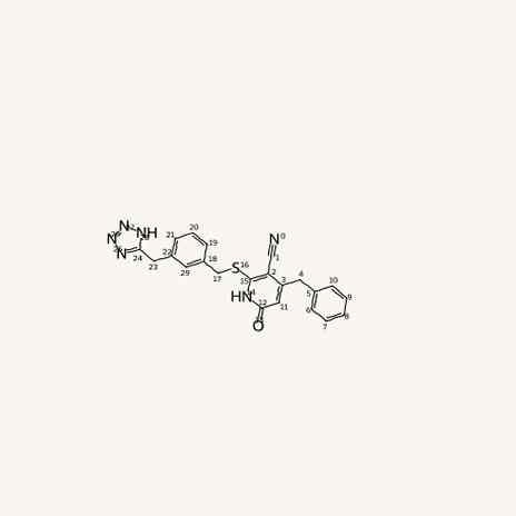 N#Cc1c(Cc2ccccc2)cc(=O)[nH]c1SCc1cccc(Cc2nnn[nH]2)c1